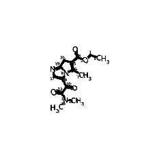 CCOC(=O)C1=C(C)n2c(C(=O)C(=O)N(C)C)cnc2C1